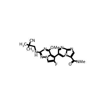 CNC(=O)c1cnc2ncc(-c3c(F)cn4nc(NCC(C)(C)C#N)nc(OC)c34)cn12